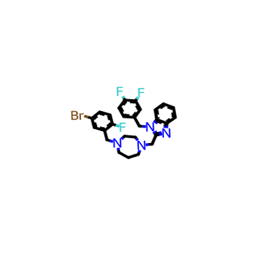 Fc1ccc(Cn2c(CN3CCCN(Cc4cc(Br)ccc4F)CC3)nc3ccccc32)cc1F